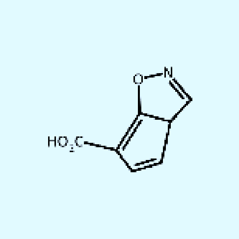 O=C(O)C1=C2ON=CC2C=C1